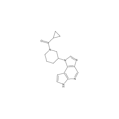 O=C(C1CC1)N1CCCC(n2cnc3cnc4[nH]ccc4c32)C1